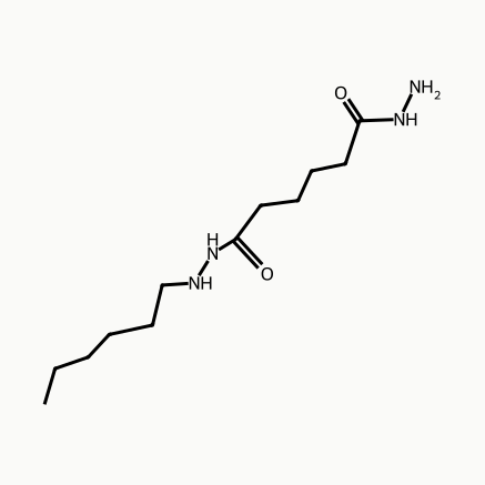 CCCCCCNNC(=O)CCCCC(=O)NN